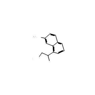 COc1ccc2cccc(C(C)CS(=O)(=O)O)c2c1